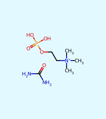 C[N+](C)(C)CCOP(=O)(O)O.NC(N)=O